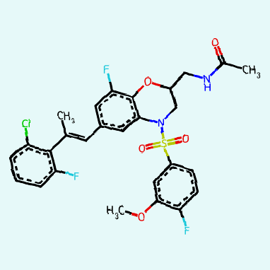 COc1cc(S(=O)(=O)N2CC(CNC(C)=O)Oc3c(F)cc(C=C(C)c4c(F)cccc4Cl)cc32)ccc1F